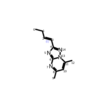 CC/C=C/c1nc2nc(C)cc(C)n2n1